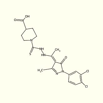 CC1=NN(c2ccc(Cl)c(Cl)c2)C(=O)C1=C(C)NNC(=S)N1CCC(C(=O)O)CC1